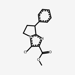 COC(=O)c1nc2n(c1Cl)CCC2c1ccccc1